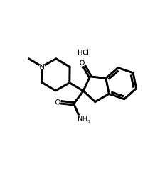 CN1CCC(C2(C(N)=O)Cc3ccccc3C2=O)CC1.Cl